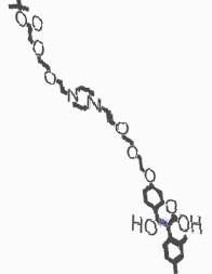 CCC(C)(C)OC(=O)COCCOCCN1CCN(CCOCCOCCOC2CCC(/C(O)=C(\C(=O)O)c3ccc(C)cc3C)CC2)CC1